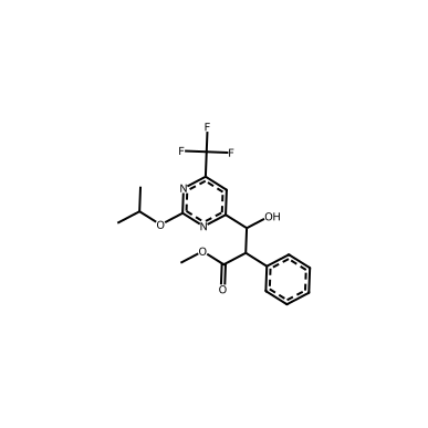 COC(=O)C(c1ccccc1)C(O)c1cc(C(F)(F)F)nc(OC(C)C)n1